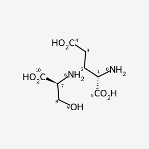 N[C@@H](CCC(=O)O)C(=O)O.N[C@@H](CO)C(=O)O